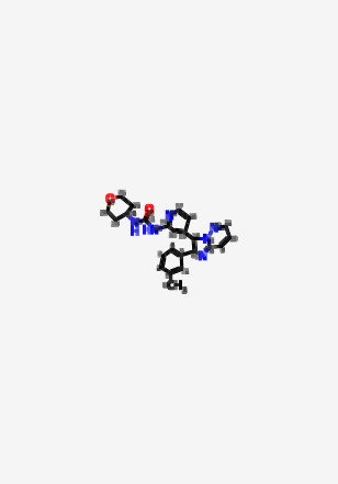 Cc1cccc(-c2nc3cccnn3c2-c2ccnc(NC(=O)NC3CCOCC3)c2)c1